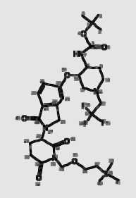 CC(C)(C)OC(=O)NC1CCN(CC(F)(F)F)CC1Oc1ccc2c(c1)CN(C1CCC(=O)N(COCCS(C)(C)C)C1=O)C2=O